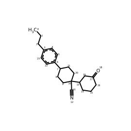 CCCc1ccc(C2CCC(C#N)(C3CCCC(=O)C3)CC2)cc1